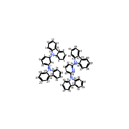 c1cc(-n2c3ccccc3c3ccccc32)cc(-n2c3ccccc3c3ccccc32)c1.c1cc(-n2c3ccccc3c3ccccc32)nc(-n2c3ccccc3c3ccccc32)c1